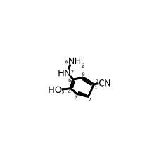 N#Cc1ccc(O)c(NN)c1